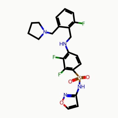 O=S(=O)(Nc1ccon1)c1ccc(NCc2c(F)cccc2CN2CCCC2)c(F)c1F